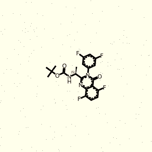 C[C@H](NC(=O)OC(C)(C)C)c1nc2c(F)ccc(F)c2c(=O)n1-c1cc(F)cc(F)c1